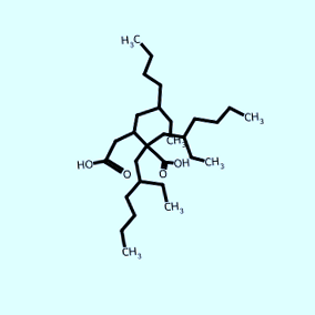 CCCCC(CC)CC(CC(=O)O)C(CC(CC)CCCC)(CC(CC)CCCC)C(=O)O